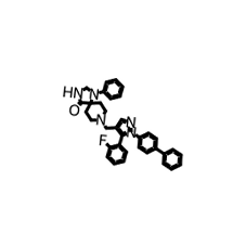 O=C1NCN(c2ccccc2)C12CCN(Cc1cnn(-c3ccc(-c4ccccc4)cc3)c1-c1ccccc1F)CC2